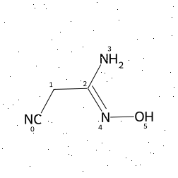 N#CCC(N)=NO